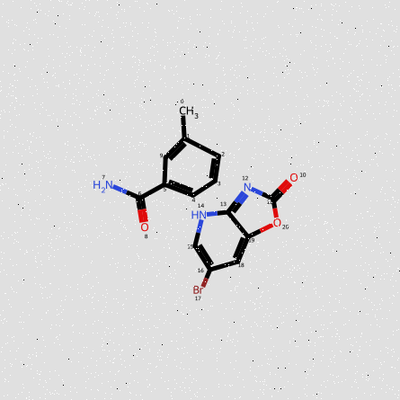 Cc1cccc(C(N)=O)c1.O=c1nc2[nH]cc(Br)cc-2o1